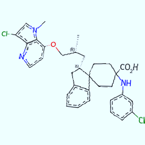 C[C@@H](COc1ccnc2c(Cl)cn(C)c12)C[C@H]1Cc2ccccc2C12CCC(Nc1cccc(Cl)c1)(C(=O)O)CC2